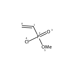 C=CP(=O)(Cl)OC